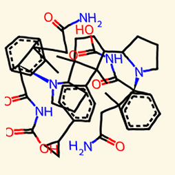 CC1(C2CCCN2[C@@]2(C(=O)NC(=O)O)c3ccc(cc3)C2(C)CC(N)=O)CCC(C2CCCN2[C@@]2(C(=O)NC(=O)O)c3ccc(cc3)C2(C)CC(N)=O)C1(C)c1ccc(C2CC2)cc1